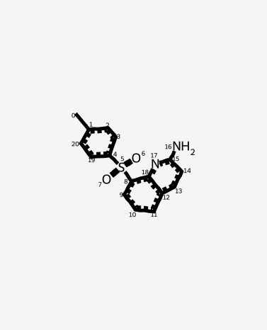 Cc1ccc(S(=O)(=O)c2cccc3ccc(N)nc23)cc1